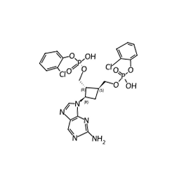 Nc1ncc2ncn([C@@H]3C[C@H](COP(=O)(O)Oc4ccccc4Cl)[C@H]3COP(=O)(O)Oc3ccccc3Cl)c2n1